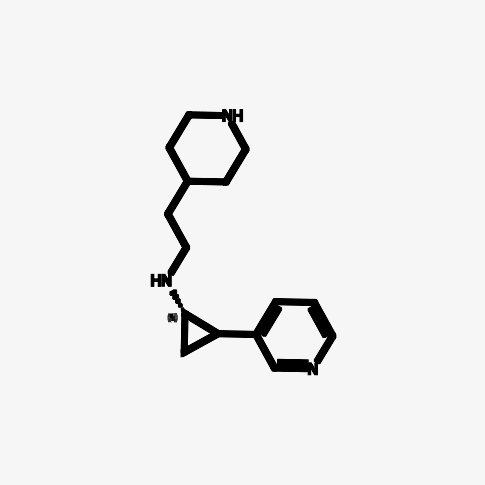 c1cncc(C2C[C@@H]2NCCC2CCNCC2)c1